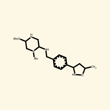 CCC(C)N1CC(OC)NCC1NCc1ccc(C2CC(C)ON2)cc1